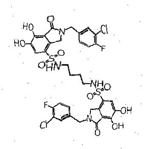 O=C1c2c(O)c(O)cc(S(=O)(=O)NCCCCNS(=O)(=O)c3cc(O)c(O)c4c3CN(Cc3ccc(F)c(Cl)c3)C4=O)c2CN1Cc1ccc(F)c(Cl)c1